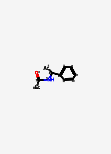 CCC(=O)NC(C(C)=O)c1ccccc1